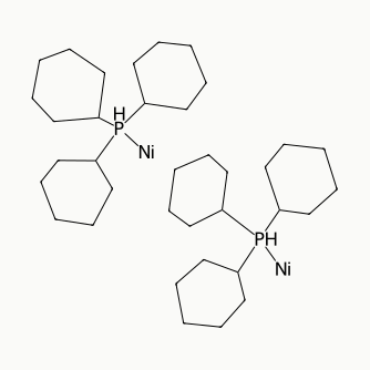 [Ni][PH](C1CCCCC1)(C1CCCCC1)C1CCCCC1.[Ni][PH](C1CCCCC1)(C1CCCCC1)C1CCCCC1